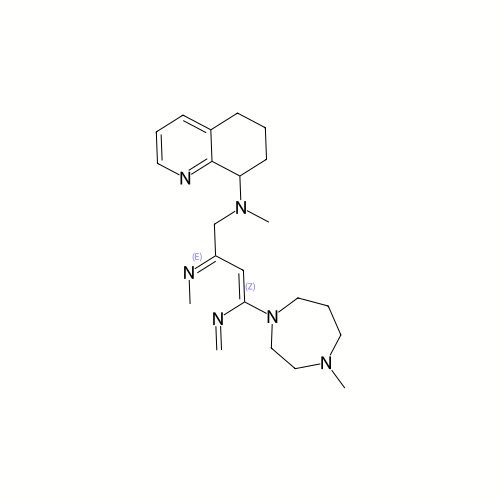 C=N/C(=C\C(CN(C)C1CCCc2cccnc21)=N/C)N1CCCN(C)CC1